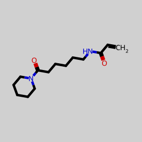 C=CC(=O)NCCCCCC(=O)N1CCCCC1